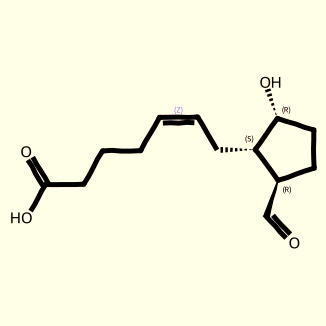 O=C[C@@H]1CC[C@@H](O)[C@H]1C/C=C\CCCC(=O)O